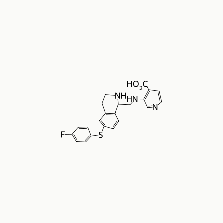 O=C(O)c1ccncc1NCC1NCCc2cc(Sc3ccc(F)cc3)ccc21